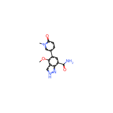 COc1c(-c2ccc(=O)n(C)c2)cc(C(N)=O)c2n[nH]cc12